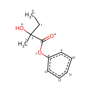 CCC(C)(O)C(=O)Oc1ccccc1